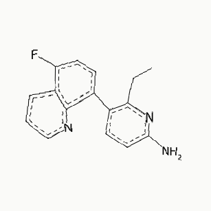 CCc1nc(N)ccc1-c1ccc(F)c2cccnc12